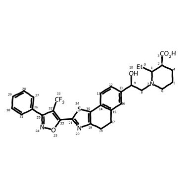 CCC1[C@@H](C(=O)O)CCCN1CC(O)c1ccc2c(c1)CCc1nc(-c3onc(-c4ccccc4)c3C(F)(F)F)sc1-2